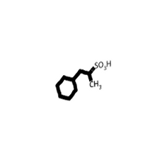 CC(CC1CCCCC1)S(=O)(=O)O